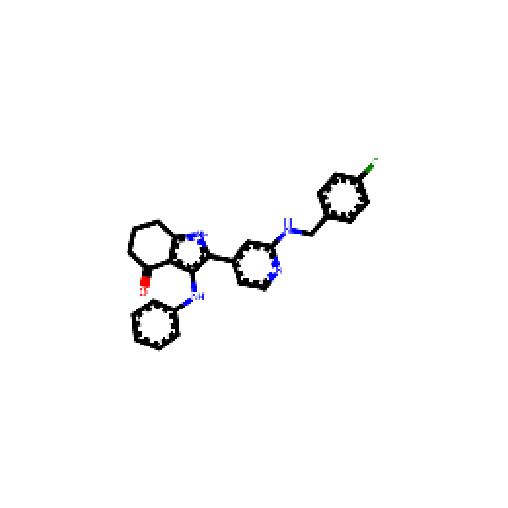 O=C1CCCc2[nH]c(-c3ccnc(NCc4ccc(F)cc4)c3)c(Nc3ccccc3)c21